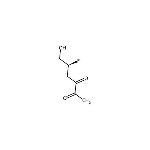 CC(=O)C(=O)C[C@H](F)CO